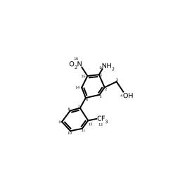 Nc1c(CO)cc(-c2ccccc2C(F)(F)F)cc1[N+](=O)[O-]